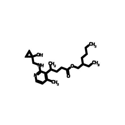 CCCCC(CC)COC(=O)CCC(C)c1c(C)ccnc1NCC1(O)CC1